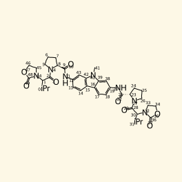 CC(C)C(C(=O)N1CCC[C@H]1C(=O)Nc1ccc2c3ccc(NC(=O)[C@@H]4CCCN4C(=O)C(C(C)C)N4CCOC4=O)cc3n(C)c2c1)N1CCOC1=O